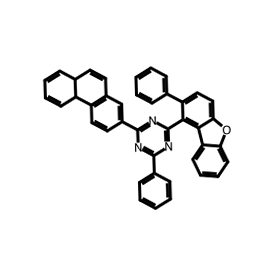 C1=CC2C=Cc3cc(-c4nc(-c5ccccc5)nc(-c5c(-c6ccccc6)ccc6oc7ccccc7c56)n4)ccc3C2C=C1